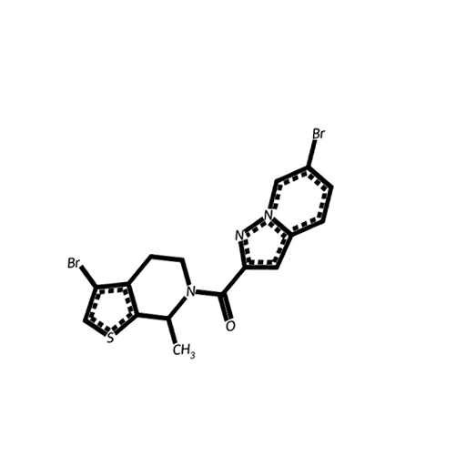 CC1c2scc(Br)c2CCN1C(=O)c1cc2ccc(Br)cn2n1